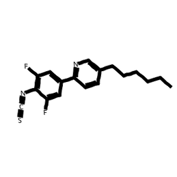 CCCCCCc1ccc(-c2cc(F)c(N=C=S)c(F)c2)nc1